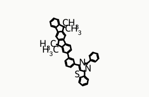 CC1(C)c2ccccc2-c2cc3c(cc21)-c1ccc(-c2cccc(-c4nc(-c5ccccc5)nc5c4sc4ccccc45)c2)cc1C3(C)C